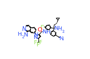 N#Cc1cccc(C(N)(CCC2CC2)c2ccc(F)c(NC(=O)c3cc(C(F)(F)F)nn3-c3ccc4ccnc(N)c4c3)c2)c1